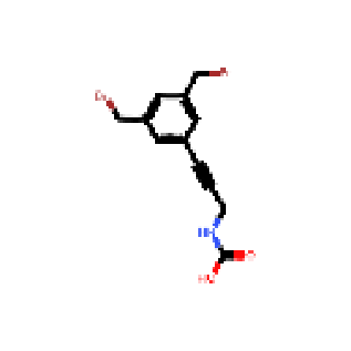 O=C(O)NCC#Cc1cc(CBr)cc(CBr)c1